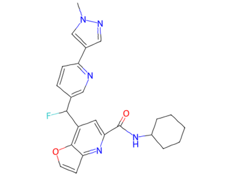 Cn1cc(-c2ccc(C(F)c3cc(C(=O)NC4CCCCC4)nc4ccoc34)cn2)cn1